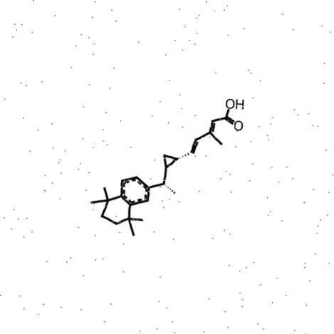 CC(/C=C/[C@H]1CC1[C@H](C)c1ccc2c(c1)C(C)(C)CCC2(C)C)=C\C(=O)O